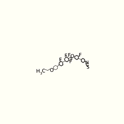 CCCCOC1CCC(c2ccc(-c3cc(F)c(C(F)(F)Oc4ccc(-c5ccc(N=C=S)cc5)c(F)c4)c(F)c3)c(F)c2)CC1